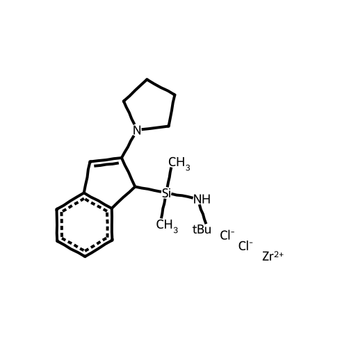 CC(C)(C)N[Si](C)(C)C1C(N2CCCC2)=Cc2ccccc21.[Cl-].[Cl-].[Zr+2]